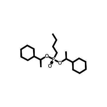 CCCCP(=O)(OC(C)C1CCCCC1)OC(C)C1CCCCC1